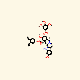 C=Cc1ccccc1C=C.COC(=O)[C@H]1[C@H]2C[C@@H]3c4[nH]c5cc(OC)ccc5c4CCN3C[C@H]2C[C@@H](OC(=O)c2cc(OC)c(OC)c(OC)c2)[C@@H]1OC